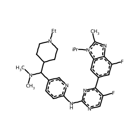 CCN1CCC(C(c2ccc(Nc3ncc(F)c(-c4cc(F)c5nc(C)n(C(C)C)c5c4)n3)nc2)N(C)C)CC1